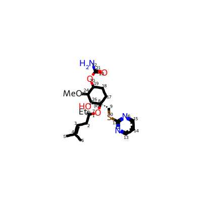 CC[C@H](CC=C(C)C)O[C@]1(CSc2ncccn2)CCC(OC(N)=O)C(OC)C1O